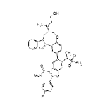 CNC(=O)c1c(-c2ccc(F)cc2)oc2cc(N(C)S(C)(=O)=O)c(-c3ccc4c(c3)-c3cc5ccccc5n3CC(N(C)CCO)CO4)cc12